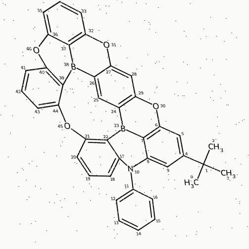 CC(C)(C)c1cc2c3c(c1)N(c1ccccc1)c1cccc4c1B3c1cc3c(cc1O2)Oc1cccc2c1B3c1c(cccc1O4)O2